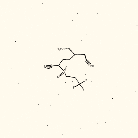 C#CCC(CC)CCC(C#N)S(=O)(=O)CCC(F)(F)F